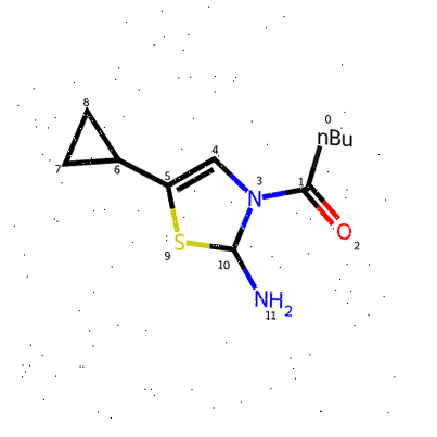 CCCCC(=O)N1C=C(C2CC2)SC1N